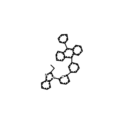 CCc1nc2ccccc2n1-c1cccc(-c2cccc(-c3c4ccccc4c(-c4ccccc4)c4ccccc34)c2)c1